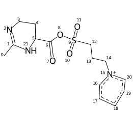 CC1=NCCC(C(=O)OS(=O)(=O)CCC[n+]2ccccc2)N1